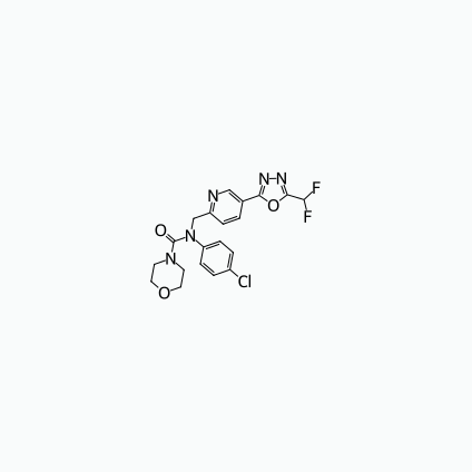 O=C(N1CCOCC1)N(Cc1ccc(-c2nnc(C(F)F)o2)cn1)c1ccc(Cl)cc1